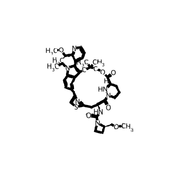 CCn1c(-c2cccnc2[C@H](C)OC)c2c3cc(ccc31)-c1csc(n1)C[C@H](NC(=O)N1CC[C@@H]1COC)C(=O)N1CCC[C@H](N1)C(=O)OCC(C)(C)C2